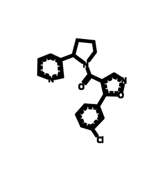 O=C(c1cnoc1-c1cccc(Cl)c1)N1CCCC1c1cccnc1